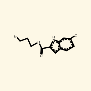 O=C(OCCCBr)c1cc2ccc(Cl)cc2[nH]1